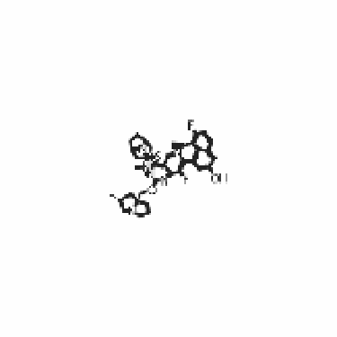 C#Cc1c(F)ccc2cc(O)cc(-c3ncc4c(N5CC6CCC(C5)N6C(=S)N(C)C)nc(OC[C@@]56CCCN5C[C@H](F)C6)nc4c3F)c12